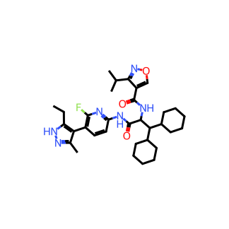 CCc1[nH]nc(C)c1-c1ccc(NC(=O)C(NC(=O)c2conc2C(C)C)C(C2CCCCC2)C2CCCCC2)nc1F